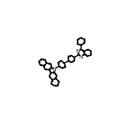 c1ccc(-c2nc(-c3ccc(-c4ccc(-n5c6cc7ccccc7cc6c6cc7ccccc7cc65)cc4)cc3)nc3ccccc23)cc1